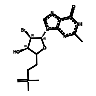 C=P(C)(C)CCC1O[C@@H](n2cnc3c(=O)[nH]c(C)nc32)[C@H](Br)[C@@H]1O